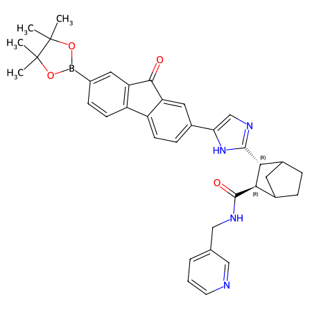 CC1(C)OB(c2ccc3c(c2)C(=O)c2cc(-c4cnc([C@@H]5C6CCC(C6)[C@H]5C(=O)NCc5cccnc5)[nH]4)ccc2-3)OC1(C)C